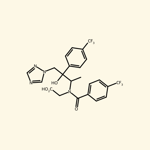 CC(N(CC(=O)O)C(=O)c1ccc(C(F)(F)F)cc1)C(O)(Cn1cncn1)c1ccc(C(F)(F)F)cc1